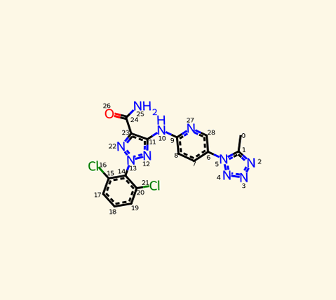 Cc1nnnn1-c1ccc(Nc2nn(-c3c(Cl)cccc3Cl)nc2C(N)=O)nc1